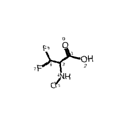 O=C(O)C(NCl)C(F)F